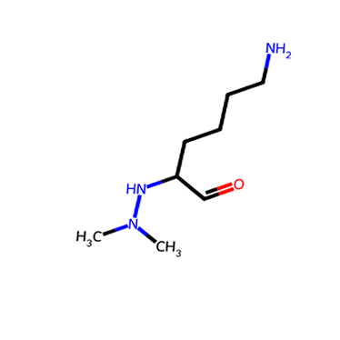 CN(C)NC(C=O)CCCCN